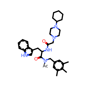 CC(=O)N(Cc1cc(C)c(C)c(C)c1)C(=O)C(Cc1c[nH]c2ccccc12)NC(=O)CN1CCN(C2CCCCC2)CC1